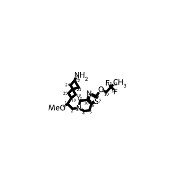 COC(CN1CCc2sc(OCC(C)(F)F)nc2C1)C1CC2(CC(N)C2)C1